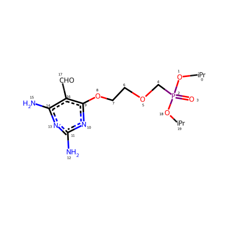 CC(C)OP(=O)(COCCOc1nc(N)nc(N)c1C=O)OC(C)C